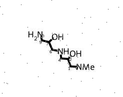 CNCC(O)CNCC(O)CN